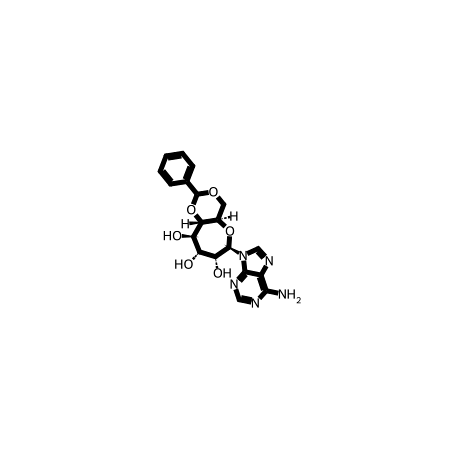 Nc1ncnc2c1ncn2[C@@H]1O[C@@H]2COC(c3ccccc3)O[C@H]2[C@H](O)[C@@H](O)[C@H]1O